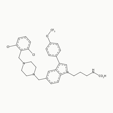 O=C(O)NCCCn1cc(-c2ccc(OC(F)(F)F)cc2)c2cc(CN3CCN(Cc4c(Cl)cccc4Cl)CC3)ccc21